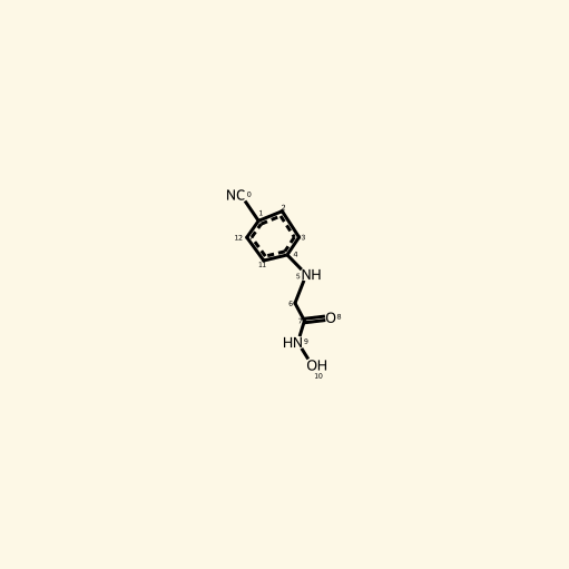 N#Cc1ccc(NCC(=O)NO)cc1